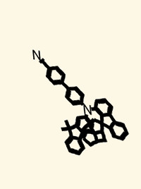 CC1(C)c2ccccc2-c2ccc(N(c3ccc(-c4ccc(C#N)cc4)cc3)c3cccc4c3C3(c5ccccc5-4)C4CC5CC6CC3C6(C5)C4)cc21